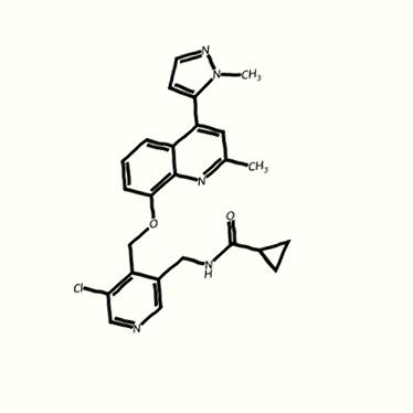 Cc1cc(-c2ccnn2C)c2cccc(OCc3c(Cl)cncc3CNC(=O)C3CC3)c2n1